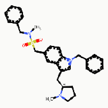 CN1CCC[C@@H]1Cc1cn(Cc2ccccc2)c2ccc(CS(=O)(=O)N(C)Cc3ccccc3)cc12